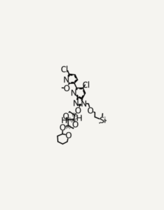 COc1nc(Cl)ccc1-c1nc2nc(O[C@@H]3CO[C@H]4[C@@H]3OC[C@H]4OC3CCCCO3)n(COCC[Si](C)(C)C)c2cc1Cl